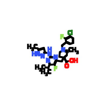 Cc1cc(Nc2nc(C[C@@]3(C(=O)O)CCN(Cc4cccc(Cl)c4F)[C@H](C)C3)c(F)c(C(C)C)n2)n[nH]1